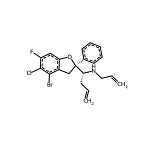 C=CCN[C@H](CC=C)[C@@]1(c2ccccc2)Cc2c(cc(F)c(Cl)c2Br)O1